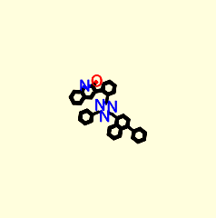 c1ccc(-c2nc(-c3ccc(-c4ccccc4)c4ccccc34)nc(-c3cccc4oc5nc6ccccc6cc5c34)n2)cc1